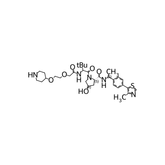 Cc1ncsc1-c1ccc([C@H](C)NC(=O)[C@@H]2C[C@@H](O)CN2C(=O)C(NC(=O)COCCOC2CCNCC2)C(C)(C)C)cc1